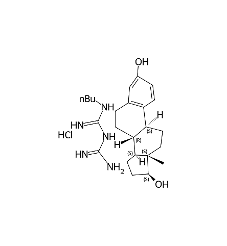 CCCCNC(=N)NC(=N)N.C[C@]12CC[C@@H]3c4ccc(O)cc4CC[C@H]3[C@@H]1CC[C@@H]2O.Cl